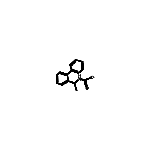 CC(NC([O])=O)c1ccccc1-c1ccccc1